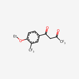 CCOc1ccc(C(=O)CC(=O)C(F)(F)F)cc1C(F)(F)F